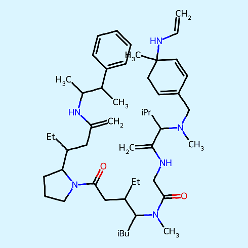 C=CNC1(C)C=CC(CN(C)C(C(=C)NCC(=O)N(C)C(C(C)CC)C(CC)CC(=O)N2CCCC2C(CC)CC(=C)NC(C)C(C)c2ccccc2)C(C)C)=CC1